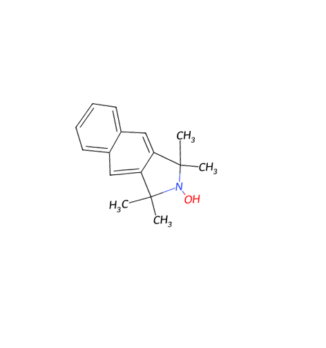 CC1(C)c2cc3ccccc3cc2C(C)(C)N1O